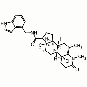 CC1=C2N(C)C(=O)CC[C@]2(C)[C@@H]2CC[C@]3(C)C(C(=O)NCc4cccc5[nH]ccc45)CC[C@H]3[C@@H]2C1